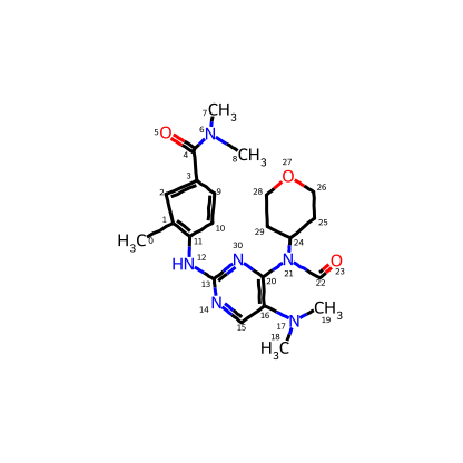 Cc1cc(C(=O)N(C)C)ccc1Nc1ncc(N(C)C)c(N(C=O)C2CCOCC2)n1